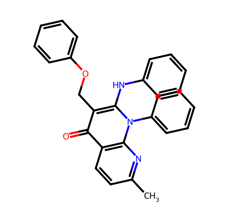 Cc1ccc2c(=O)c(COc3ccccc3)c(Nc3ccccc3)n(-c3ccccc3)c2n1